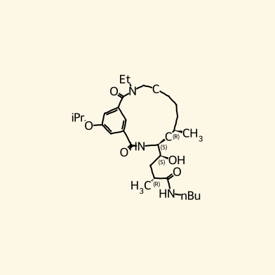 CCCCNC(=O)[C@H](C)C[C@H](O)[C@@H]1C[C@H](C)CCCCCN(CC)C(=O)c2cc(OC(C)C)cc(c2)C(=O)N1